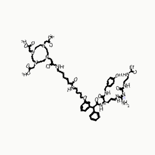 [2H]OC(=O)CN1CCN(CC(=O)NCCCCCC(=O)NCCCCOc2cccc(C(C(=O)N[C@H](CCCN/C(N)=N\C(=O)NCCNC(=O)CC)C(=O)NCc3ccc(O)cc3)c3ccccc3)c2)CCN(CC(=O)O[2H])CCN(CC(=O)O[2H])CC1